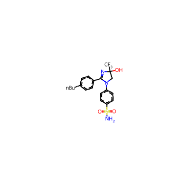 CCCCc1ccc(C2=NC(O)(C(F)(F)F)CN2c2ccc(S(N)(=O)=O)cc2)cc1